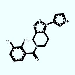 Cc1c(C(=O)N2CCc3c(nnn3-c3cc[nH]n3)C2)cccc1C(F)(F)F